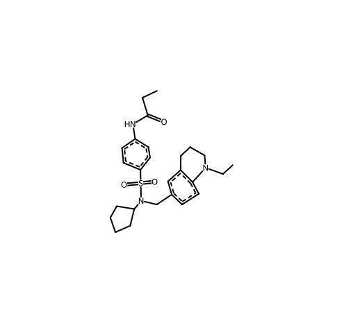 CCC(=O)Nc1ccc(S(=O)(=O)N(Cc2ccc3c(c2)CCCN3CC)C2CCCC2)cc1